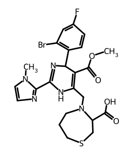 COC(=O)C1=C(CN2CCCSCC2C(=O)O)NC(c2nccn2C)=NC1c1ccc(F)cc1Br